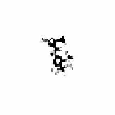 BC(B)(Cl)c1ccc(NC(=O)c2cn(C(C)C)nc2C2CC2)cc1OC(F)F